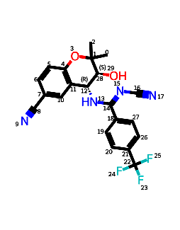 CC1(C)Oc2ccc(C#N)cc2[C@@H](NC(=NC#N)c2ccc(C(F)(F)F)cc2)[C@@H]1O